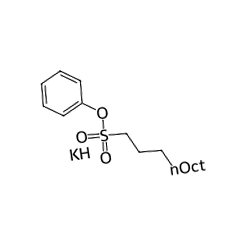 CCCCCCCCCCCS(=O)(=O)Oc1ccccc1.[KH]